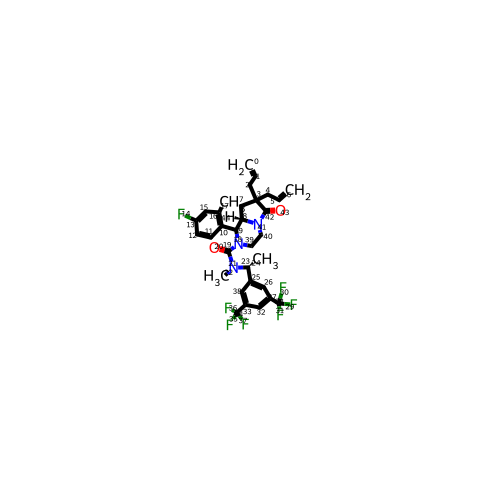 C=CCC1(CC=C)C[C@H]2C(c3ccc(F)cc3C)N(C(=O)N(C)[C@H](C)c3cc(C(F)(F)F)cc(C(F)(F)F)c3)CCN2C1=O